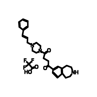 O=C(CCC(=O)N1CCN(C/C=C/c2ccccc2)CC1)c1ccc2c(c1)CCNCC2.O=C(O)C(F)(F)F